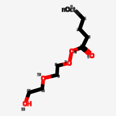 CCCCCCCCCCCC(=O)OOCCOCCO